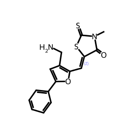 CN1C(=O)/C(=C/c2oc(-c3ccccc3)cc2CN)SC1=S